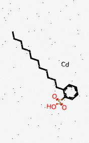 CCCCCCCCCCCCc1ccccc1S(=O)(=O)O.[Cd]